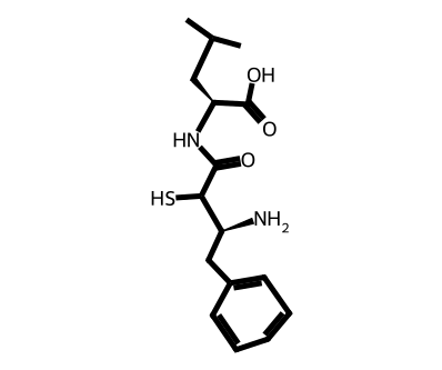 CC(C)C[C@H](NC(=O)C(S)[C@@H](N)Cc1ccccc1)C(=O)O